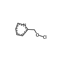 ClOCc1ccccn1